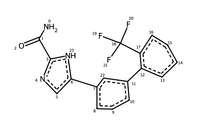 NC(=O)c1ncc(-c2cccc(-c3ccccc3C(F)(F)F)c2)[nH]1